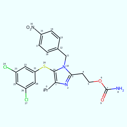 CC(C)c1nc(CCOC(N)=O)n(Cc2ccc([N+](=O)[O-])cc2)c1Sc1cc(Cl)cc(Cl)c1